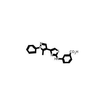 Cc1c(-c2csc(Nc3cccc(C(=O)O)c3)n2)cnn1-c1ccccc1